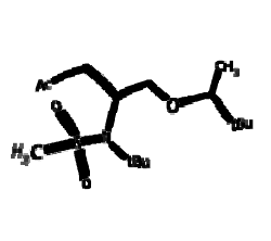 CC(=O)CC(COC(C)C(C)(C)C)N(C(C)(C)C)S(C)(=O)=O